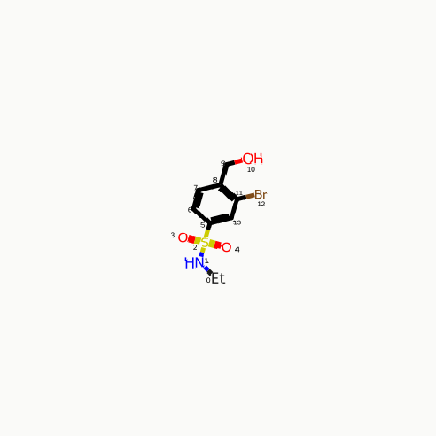 CCNS(=O)(=O)c1ccc(CO)c(Br)c1